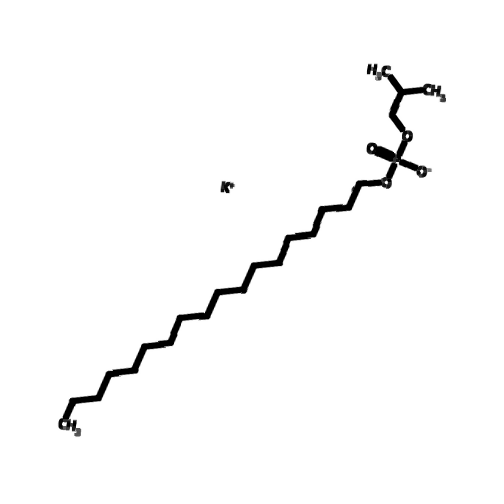 CCCCCCCCCCCCCCCCCCOP(=O)([O-])OCC(C)C.[K+]